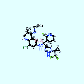 BC(Nc1cc(Cl)c2ncc(C#N)c(NCC(C)(C)C)c2c1)(C1=CN(C2(C(F)F)CC2)NN1)c1cccnc1F